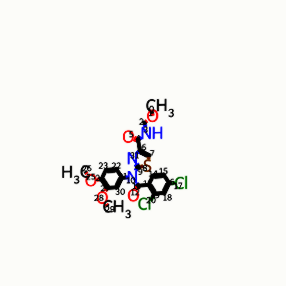 COCNC(=O)c1csc(N(C(=O)c2ccc(Cl)cc2Cl)c2ccc(OC)c(OC)c2)n1